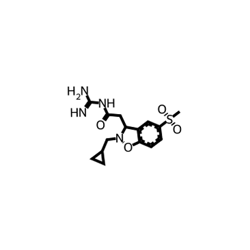 CS(=O)(=O)c1ccc2c(c1)C(CC(=O)NC(=N)N)N(CC1CC1)O2